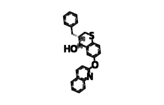 O[C@H]1c2cc(Oc3ccc4ccccc4n3)ccc2SC[C@H]1Cc1ccccc1